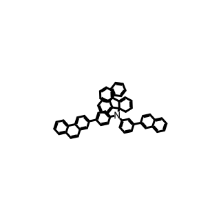 C1=CCC(c2ccccc2-c2ccccc2)(N(c2ccc(-c3ccc4c(ccc5ccccc54)c3)cc2)c2cccc(-c3ccc4ccccc4c3)c2)C(c2ccccc2)=C1